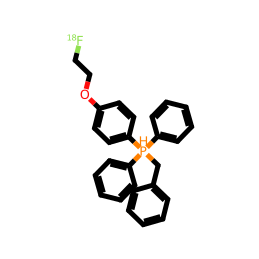 [18F]CCOc1ccc([PH](Cc2ccccc2)(c2ccccc2)c2ccccc2)cc1